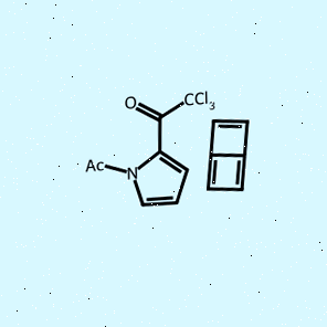 CC(=O)n1cccc1C(=O)C(Cl)(Cl)Cl.c1cc2ccc1-2